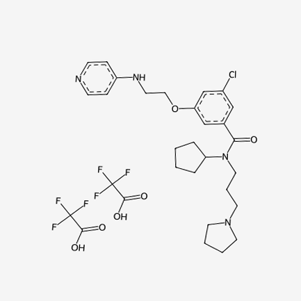 O=C(O)C(F)(F)F.O=C(O)C(F)(F)F.O=C(c1cc(Cl)cc(OCCNc2ccncc2)c1)N(CCCN1CCCC1)C1CCCC1